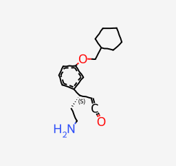 NCC[C@@H](C=C=O)c1cccc(OCC2CCCCC2)c1